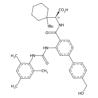 Cc1cc(C)c(NC(=O)Nc2cc(-c3ccc(CO)cc3)ccc2C(=O)N[C@H](C(=O)O)C2(C(C)(C)C)CCCCC2)c(C)c1